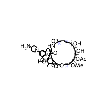 CO[C@H]1/C=C/O[C@@]2(C)Oc3c(C)c(O)c4c(=O)c(c5oc6cc(N7CCC(N)CC7)cc(O)c6nc-5c4c3C2=O)NC(=O)/C(C)=C\C=C\[C@H](C)[C@H](O)[C@@H](C)[C@@H](O)[C@@H](C)[C@H](OC(C)=O)[C@@H]1C